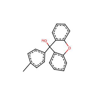 Cc1ccc(C2(O)c3ccccc3Oc3ccccc32)cc1